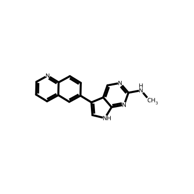 CNc1ncc2c(-c3ccc4ncccc4c3)c[nH]c2n1